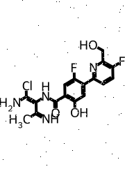 CC(=N)/C(NC(=O)c1cc(F)c(-c2ccc(F)c(CO)n2)cc1O)=C(\N)Cl